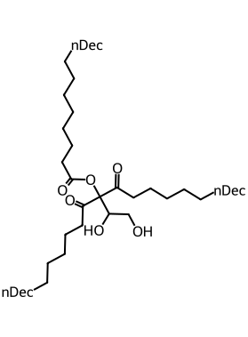 CCCCCCCCCCCCCCCCCC(=O)OC(C(=O)CCCCCCCCCCCCCCC)(C(=O)CCCCCCCCCCCCCCC)C(O)CO